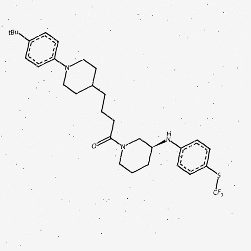 CC(C)(C)c1ccc(N2CCC(CCCC(=O)N3CCC[C@H](Nc4ccc(SC(F)(F)F)cc4)C3)CC2)cc1